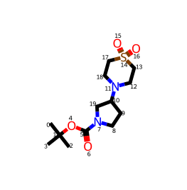 CC(C)(C)OC(=O)N1CCC(N2CCS(=O)(=O)CC2)C1